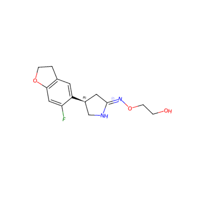 OCCO/N=C1/C[C@H](c2cc3c(cc2F)OCC3)CN1